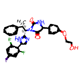 C[C@@H](c1ccccc1)[C@@H](c1ncc(-c2c(F)cc(I)cc2F)[nH]1)N1C(=O)NC(c2ccc(OCCO)cc2)C1=O